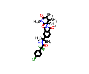 BC1C(=O)N(B)C(=O)[C@@](B)(N2Cc3cc(C(B)(B)NC(=O)C(F)(F)c4ccc(Cl)cc4)ccc3C2=O)C1B